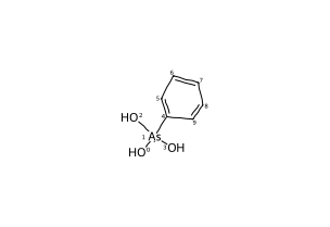 O[As](O)(O)c1ccccc1